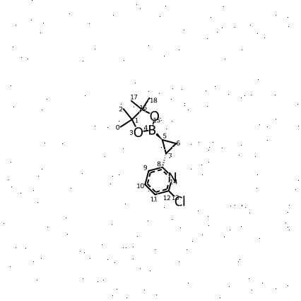 CC1(C)OB([C@H]2C[C@@H]2c2cccc(Cl)n2)OC1(C)C